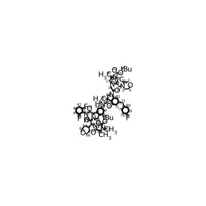 C[C@@H]1COCCN1C[C@H]1CN(C(=O)OC(C)(C)C)[C@H](C)CN1CC(=O)N1CC(C)(C(=O)Nc2ccc3c(c2)[C@@H](C(=O)Nc2c(F)cccc2F)N(C(=O)C(NC(=O)[C@H](C)N(C)C(=O)OC(C)(C)C)C2CCOCC2)C3)c2ccc(Cc3ccc(F)cc3)cc21